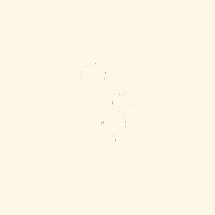 Ic1ccn2c(N3CCOCC3)nnc2c1